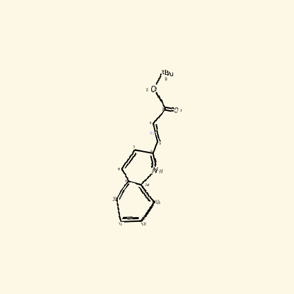 CC(C)(C)OC(=O)/C=C/c1ccc2ccccc2n1